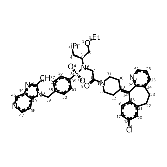 CCOC[C@H](CC(C)C)N(CC(=O)N1CCC(=C2c3ccc(Cl)cc3CCc3cccnc32)CC1)S(=O)(=O)c1ccc(Cn2c(C)nc3cnccc32)cc1